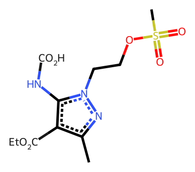 CCOC(=O)c1c(C)nn(CCOS(C)(=O)=O)c1NC(=O)O